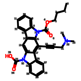 CCCCOC(=O)n1c2ccccc2c2cc3c(c(C#CCN(C)C)c21)c1ccccc1n3C(=O)O